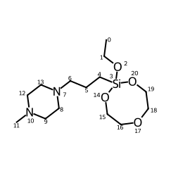 CCO[Si]1(CCCN2CCN(C)CC2)OCCOCCO1